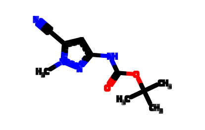 Cn1nc(NC(=O)OC(C)(C)C)cc1C#N